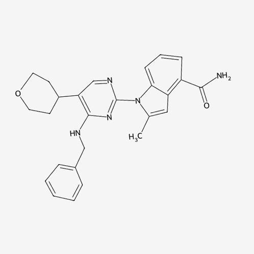 Cc1cc2c(C(N)=O)cccc2n1-c1ncc(C2CCOCC2)c(NCc2ccccc2)n1